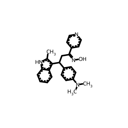 Cc1[nH]c2ccccc2c1C(CC(=NO)c1ccncc1)c1ccc(N(C)C)cc1